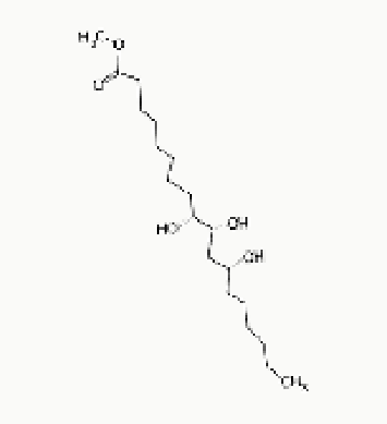 CCCCCC[C@@H](O)C[C@@H](O)[C@H](O)CCCCCCCC(=O)OC